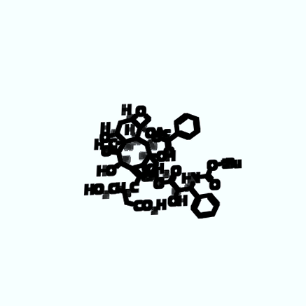 CC(=O)O[C@@]12CO[C@@H]1C[C@H](O)[C@@]1(C)C(=O)[C@H](O)C3=C(C)[C@@H](OC(=O)[C@H](O)[C@@H](NC(=O)OC(C)(C)C)c4ccccc4)C[C@@](O)([C@@H](OC(=O)c4ccccc4)[C@H]21)C3(C)C.O=C(O)CCC(=O)O